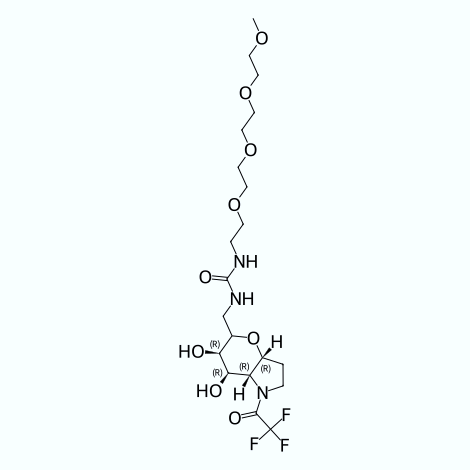 COCCOCCOCCOCCNC(=O)NCC1O[C@@H]2CCN(C(=O)C(F)(F)F)[C@@H]2[C@@H](O)[C@H]1O